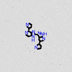 c1cncc(-c2cnc3[nH]nc(-c4nc5c(-c6cccnc6)nccc5[nH]4)c3c2)c1